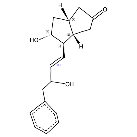 O=C1C[C@H]2C[C@@H](O)[C@H](/C=C/C(O)Cc3ccccc3)[C@H]2C1